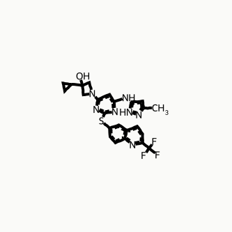 Cc1cc(Nc2cc(N3CC(O)(C4CC4)C3)nc(Sc3ccc4nc(C(F)(F)F)ccc4c3)n2)[nH]n1